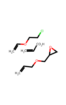 C=CC(=O)O.C=CCOCC1CO1.C=COCCCl